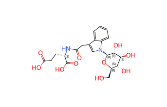 O=C(O)CC[C@H](NC(=O)Cc1cn([C@@H]2O[C@H](CO)[C@@H](O)[C@H](O)[C@H]2O)c2ccccc12)C(=O)O